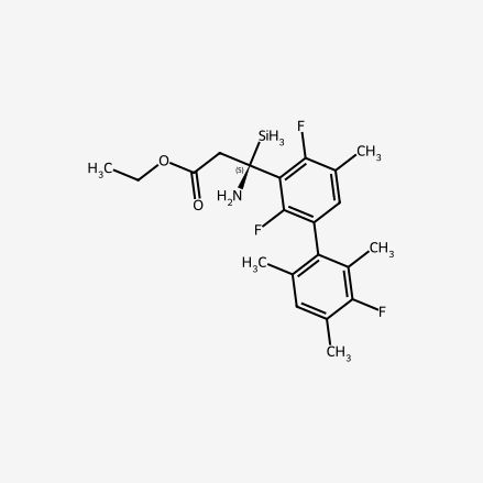 CCOC(=O)C[C@](N)([SiH3])c1c(F)c(C)cc(-c2c(C)cc(C)c(F)c2C)c1F